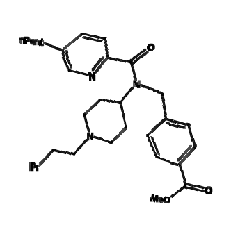 CCCCCc1ccc(C(=O)N(Cc2ccc(C(=O)OC)cc2)C2CCN(CCC(C)C)CC2)nc1